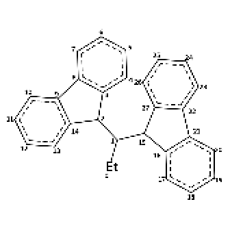 CCC(C1c2ccccc2-c2ccccc21)C1c2ccccc2-c2ccccc21